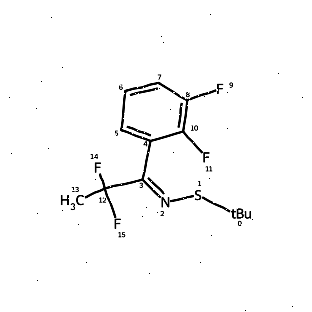 CC(C)(C)S/N=C(\c1cccc(F)c1F)C(C)(F)F